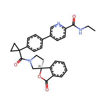 CCNC(=O)c1ccc(-c2ccc(C3(C(=O)N4CC[C@@]5(C4)OC(=O)c4ccccc45)CC3)cc2)cn1